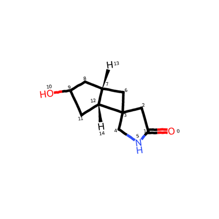 O=C1CC2(CN1)C[C@H]1CC(O)C[C@H]12